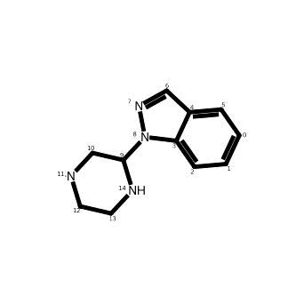 c1ccc2c(c1)cnn2C1C[N]CCN1